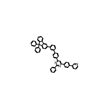 c1ccc(-c2nc(-c3ccc(-c4cccnc4)cc3)cc(-c3ccc(-c4cccc(-c5ccc6c(c5)-c5ccccc5C6(c5ccccc5)c5ccccc5)c4)cc3)n2)cc1